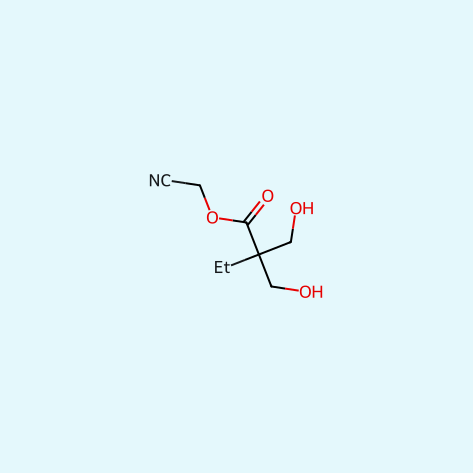 CCC(CO)(CO)C(=O)OCC#N